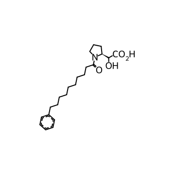 O=C(O)C(O)[C@@H]1CCCN1C(=O)CCCCCCCCCc1ccccc1